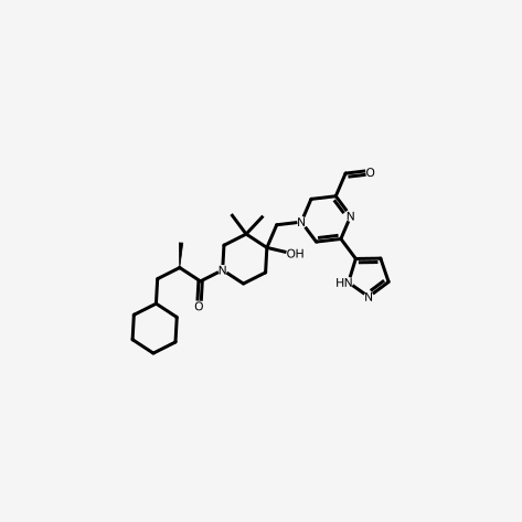 C[C@H](CC1CCCCC1)C(=O)N1CCC(O)(CN2C=C(c3ccn[nH]3)N=C(C=O)C2)C(C)(C)C1